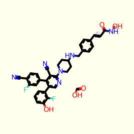 N#Cc1ccc(-c2c(-c3cccc(O)c3F)cnc(N3CCC(NCc4ccc(/C=C/C(=O)NO)cc4)CC3)c2C#N)cc1F.O=CO